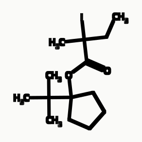 CCC(C)(I)C(=O)OC1(C(C)(C)C)CCCC1